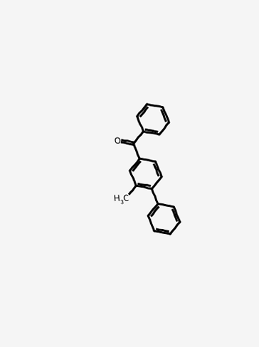 Cc1cc(C(=O)c2ccccc2)ccc1-c1ccccc1